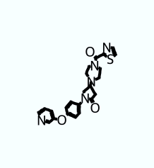 O=C(c1nccs1)N1CCN(C2CC(=O)N(c3ccc(Oc4cccnc4)cc3)C2)CC1